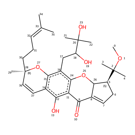 COC(C)(C)[C@H]1CC=C2C(=O)c3c(O)c4c(c(CC(O)C(C)(C)O)c3OC21)O[C@](C)(CCC=C(C)C)C=C4